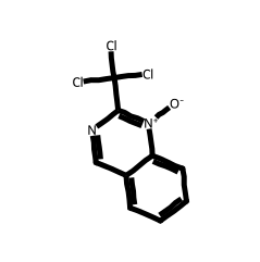 [O-][n+]1c(C(Cl)(Cl)Cl)ncc2ccccc21